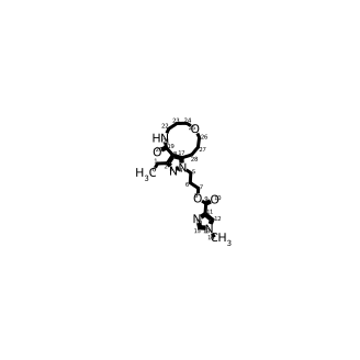 CCc1nn(CCCOC(=O)c2cn(C)cn2)c2c1C(=O)NCCCOCCC2